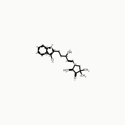 C=C1C(=O)C(C)(C)C[C@@H]1/C=C/C(O)CCc1sc2ccccc2c1Cl